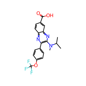 CC(C)N(C)c1nc2cc(C(=O)O)ccc2nc1-c1ccc(OC(F)(F)F)cc1